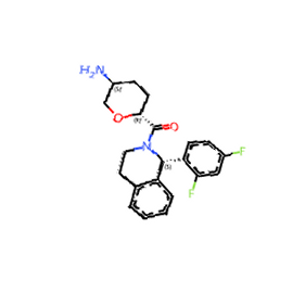 N[C@H]1CC[C@H](C(=O)N2CCc3ccccc3[C@H]2c2ccc(F)cc2F)OC1